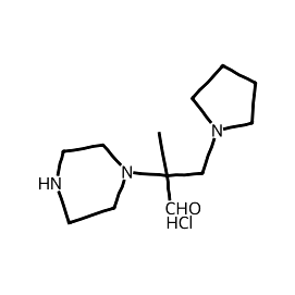 CC(C=O)(CN1CCCC1)N1CCNCC1.Cl